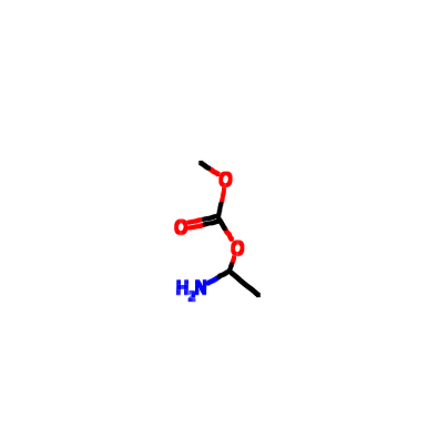 COC(=O)OC(C)N